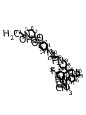 C=CC(O)N1CCCC(S(=O)(=O)c2ccc(N3CC(F)(CN4CCC(C(CN5CCC5)(c5cccc(F)c5)[C@H]5CCC[C@@H]5NC(=O)OC)CC4)C3)cc2)C1